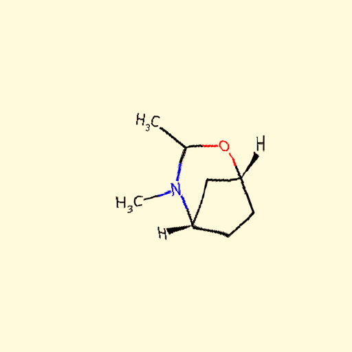 CC1O[C@@H]2CC[C@@H](C2)N1C